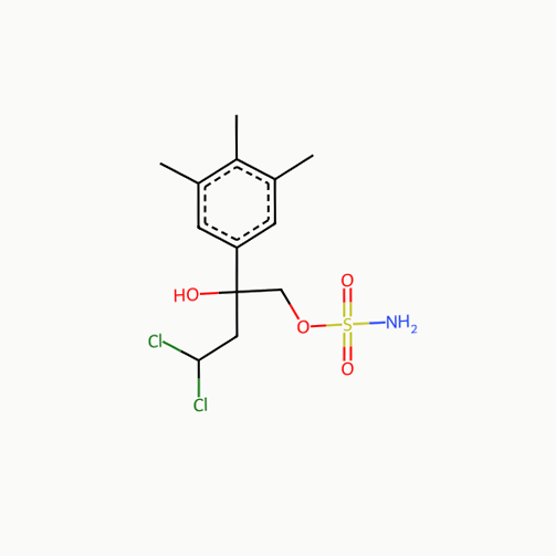 Cc1cc(C(O)(COS(N)(=O)=O)CC(Cl)Cl)cc(C)c1C